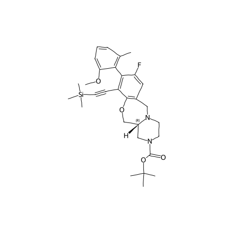 COc1cccc(C)c1-c1c(F)cc2c(c1C#C[Si](C)(C)C)OC[C@H]1CN(C(=O)OC(C)(C)C)CCN1C2